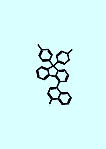 Cc1ccc(C2(C3=CCC(C)C=C3)c3ccccc3-c3c(-c4ccc(I)c5ccccc45)cccc32)cc1